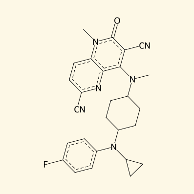 CN(c1c(C#N)c(=O)n(C)c2ccc(C#N)nc12)C1CCC(N(c2ccc(F)cc2)C2CC2)CC1